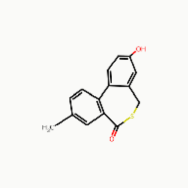 Cc1ccc2c(c1)C(=O)SCc1cc(O)ccc1-2